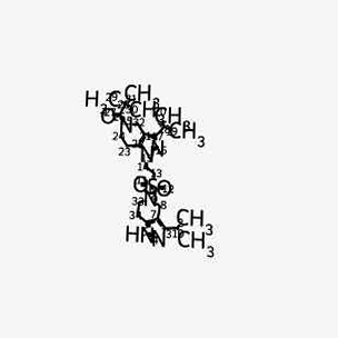 CC(C)c1n[nH]c2c1CN(S(=O)(=O)CCn1nc(C(C)C)c3c1CCN(C(=O)C(C)(C)C)C3)CC2